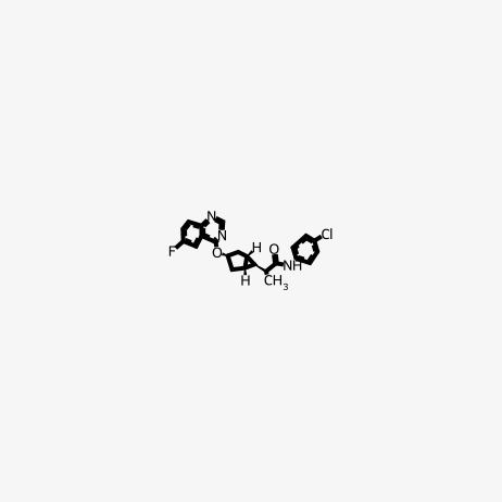 CC(C(=O)Nc1ccc(Cl)cc1)[C@H]1[C@@H]2C[C@@H](Oc3ncnc4ccc(F)cc34)C[C@@H]21